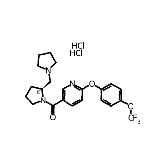 Cl.Cl.O=C(c1ccc(Oc2ccc(OC(F)(F)F)cc2)nc1)N1CCC[C@H]1CN1CCCC1